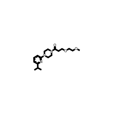 COCCOCCC(=O)N1CCN(c2cccc(C(C)C)n2)CC1